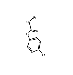 CCc1ccc2oc(NC(C)C)nc2c1